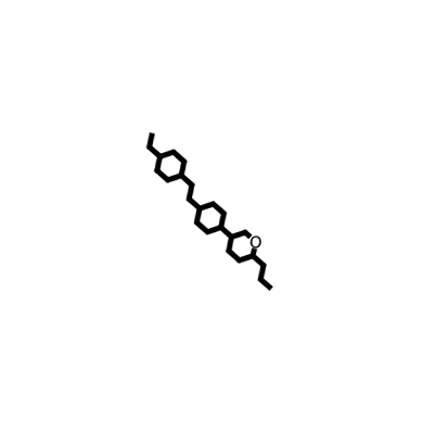 CCCC1CCC(C2CCC(CCC3CCC(CC)CC3)CC2)CO1